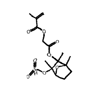 C=C(C)C(=O)OCC(=O)OC1(C)C2(C)CCC(O2)C1(C)O[SH](=O)=O